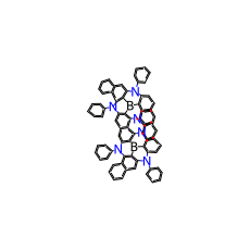 c1ccc(N2c3cccc4c3B3c5c2cc2ccccc2c5N(c2ccccc2)c2cc5cc6c7c(c5c(c23)N4c2ccccc2)N(c2ccccc2)c2cccc3c2B7c2c(cc4ccccc4c2N6c2ccccc2)N3c2ccccc2)cc1